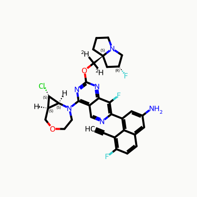 [2H]C([2H])(Oc1nc(N2CCOC[C@H]3[C@H](Cl)[C@H]32)c2cnc(-c3cc(N)cc4ccc(F)c(C#C)c34)c(F)c2n1)[C@@]12CCCN1C[C@H](F)C2